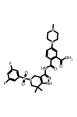 CN1CCN(c2ccc(C(=O)Nc3n[nH]c4c3CN(S(=O)(=O)c3cc(F)cc(F)c3)CC4(C)C)c(C(N)=O)c2)CC1